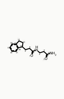 NC(=O)CCNC(=O)CCC1CCc2ccccc21